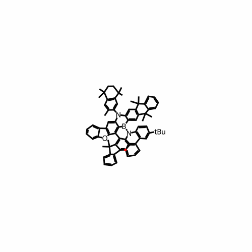 Cc1cc2c(cc1N1c3cc4c(cc3B3c5c1cc1c(oc6ccccc61)c5-c1c(ccc5c1C(C)(C)c1ccccc1-5)N3c1ccc(C(C)(C)C)cc1-c1ccccc1)C(C)(C)c1ccccc1C4(C)C)C(C)(C)CCC2(C)C